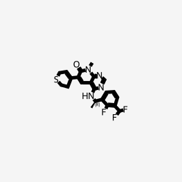 C[C@@H](Nc1ncnc2c1cc(C1=CCSCC1)c(=O)n2C)c1cccc(C(F)F)c1F